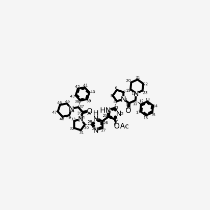 CC(=O)Oc1nc([C@@H]2CCCN2C(=O)[C@@H](c2ccccc2)N2CCCCC2)[nH]c1-c1cnc([C@@H]2CCCN2C(=O)[C@@H](c2ccccc2)N2CCCCC2)[nH]1